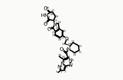 Cc1cc2nnc(C(=O)N3CCCC[C@@H]3COc3ccc4c(c3)CN(C3CCC(=O)NC3=O)C4=O)c(C)n2n1